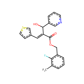 O=C(OCc1cccc(C(F)(F)F)c1F)C(=Cc1ccsc1)C(O)c1cccnc1